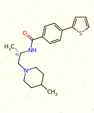 CC1CCN(C[C@H](C)NC(=O)c2ccc(-c3cccs3)cc2)CC1